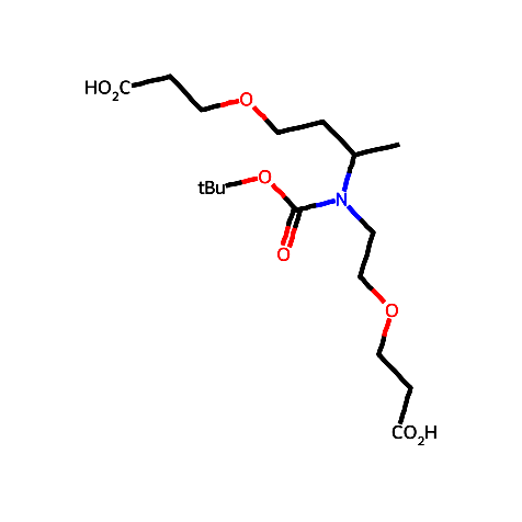 CC(CCOCCC(=O)O)N(CCOCCC(=O)O)C(=O)OC(C)(C)C